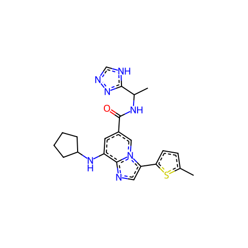 Cc1ccc(-c2cnc3c(NC4CCCC4)cc(C(=O)NC(C)c4nnc[nH]4)cn23)s1